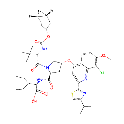 CCC(CC)[C@@H](NC(=O)[C@@H]1C[C@@H](Oc2cc(-c3nc(C(C)C)cs3)nc3c(Cl)c(OC)ccc23)CN1C(=O)[C@@H](NC(=O)O[C@@H]1C[C@@H]2C[C@@H]2C1)C(C)(C)C)C(=O)O